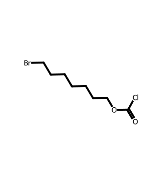 O=C(Cl)OCCCCCCCBr